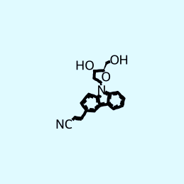 N#C/C=C/c1ccc2c(c1)c1ccccc1n2[C@H]1C[C@@H](O)[C@@H](CO)O1